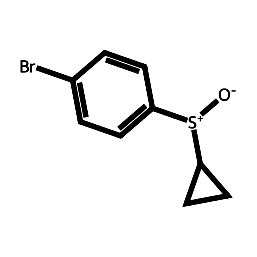 [O-][S+](c1ccc(Br)cc1)C1CC1